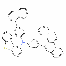 c1ccc2c(-c3ccc(N(c4ccc(-c5cc6ccccc6c6ccc7ccccc7c56)cc4)c4cccc5sc6ccccc6c45)cc3)cccc2c1